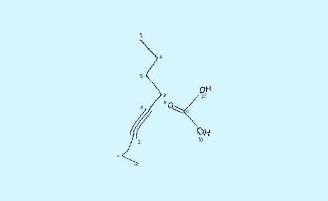 CCC#CCCCC.O=C(O)O